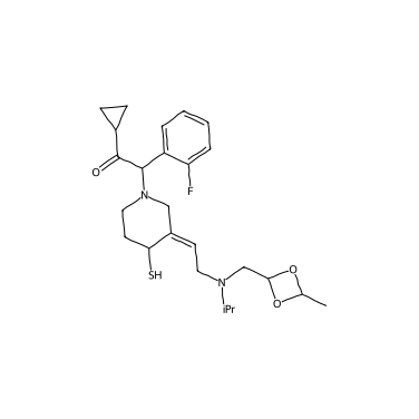 CC1OC(CN(C/C=C2/CN(C(C(=O)C3CC3)c3ccccc3F)CCC2S)C(C)C)O1